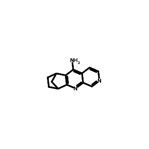 Nc1c2c(nc3cnccc13)C1CCC2C1